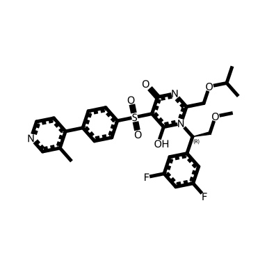 COC[C@@H](c1cc(F)cc(F)c1)n1c(COC(C)C)nc(=O)c(S(=O)(=O)c2ccc(-c3ccncc3C)cc2)c1O